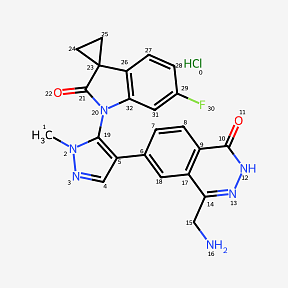 Cl.Cn1ncc(-c2ccc3c(=O)[nH]nc(CN)c3c2)c1N1C(=O)C2(CC2)c2ccc(F)cc21